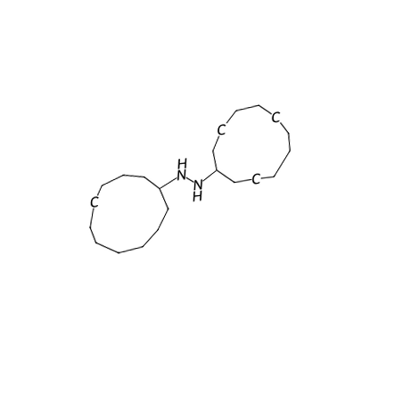 C1CCCCCC(NNC2CCCCCCCCCC2)CCCC1